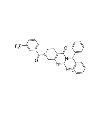 Nc1nc2c(c(=O)n1C(c1ccccc1)c1ccccc1)CCN(C(=O)c1cccc(C(F)(F)F)c1)C2